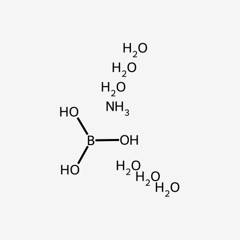 N.O.O.O.O.O.O.OB(O)O